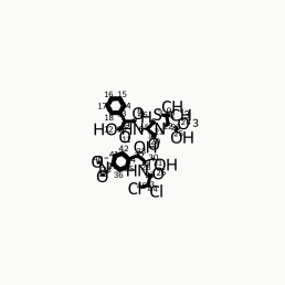 CC1(C)S[C@@H]2[C@H](NC(=O)C(C(=O)O)c3ccccc3)C(=O)N2[C@H]1C(=O)O.O=C(N[C@H](CO)[C@H](O)c1ccc([N+](=O)[O-])cc1)C(Cl)Cl